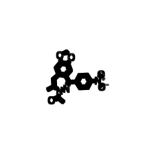 CC(=O)N1N=C(c2ccc([N+](=O)[O-])cc2)c2cc3c(cc2C=C1C)OCO3